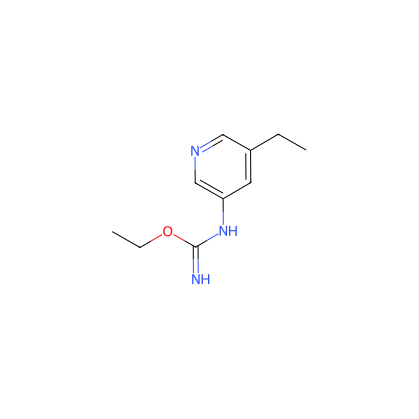 CCOC(=N)Nc1cncc(CC)c1